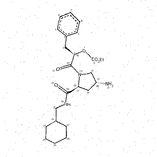 CCOC(=O)O[C@H](Cc1ccccc1)C(=O)N1C[C@H](N)C[C@H]1C(=O)NCC1CCCCC1